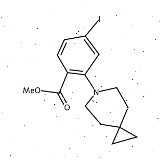 COC(=O)c1ccc(I)cc1N1CCC2(CC1)CC2